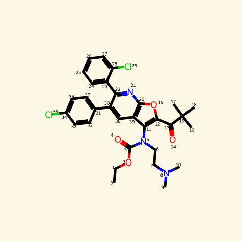 CCOC(=O)N(CCN(C)C)c1c(C(=O)C(C)(C)C)oc2nc(-c3ccccc3Cl)c(-c3ccc(Cl)cc3)cc12